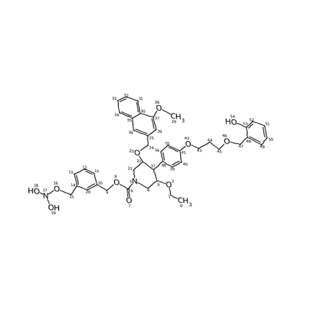 CCOC1CN(C(=O)OCc2cccc(CON(O)O)c2)CC(OCc2cc(OC)c3ccccc3c2)C1c1ccc(OCCCOCc2ccccc2O)cc1